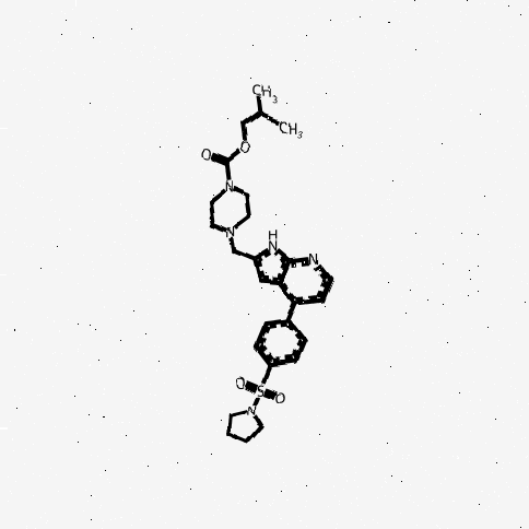 CC(C)COC(=O)N1CCN(Cc2cc3c(-c4ccc(S(=O)(=O)N5CCCC5)cc4)ccnc3[nH]2)CC1